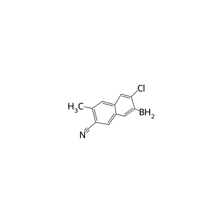 Bc1cc2cc(C#N)c(C)cc2cc1Cl